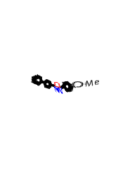 COc1ccc(-c2nnc(-c3ccc(-c4ccccc4)cc3)o2)cc1